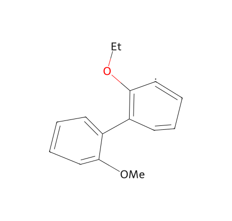 CCOc1[c]cccc1-c1ccccc1OC